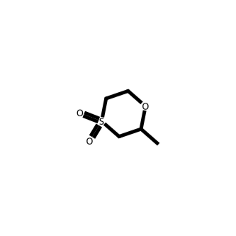 CC1CS(=O)(=O)CCO1